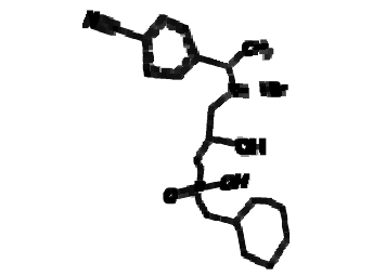 Br.CC(NCC(O)CP(=O)(O)CC1CCCCC1)c1ccc(C#N)cc1